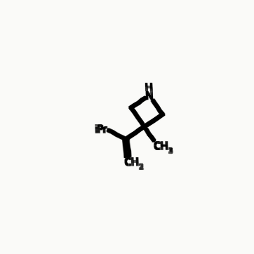 C=C(C(C)C)C1(C)CNC1